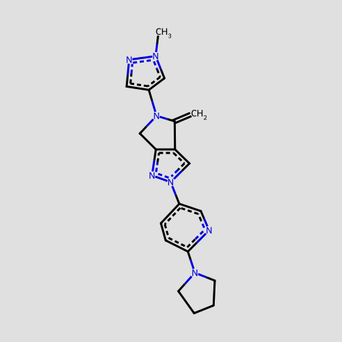 C=C1c2cn(-c3ccc(N4CCCC4)nc3)nc2CN1c1cnn(C)c1